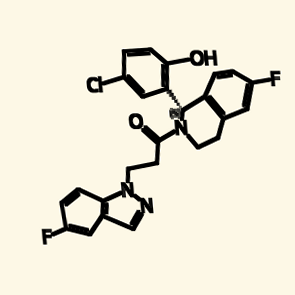 O=C(CCn1ncc2cc(F)ccc21)N1CCc2cc(F)ccc2[C@H]1c1cc(Cl)ccc1O